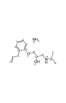 C=CCc1ccccc1OCC(O)CNC(C)C.N